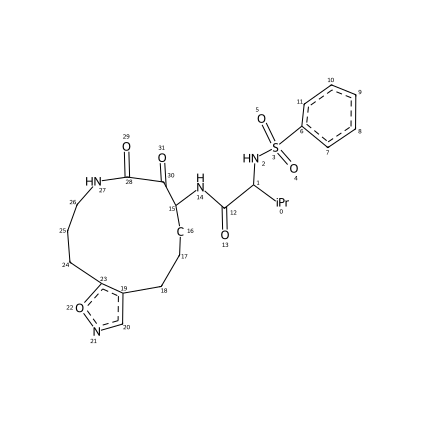 CC(C)C(NS(=O)(=O)c1ccccc1)C(=O)NC1CCCc2cnoc2CCCNC(=O)C1=O